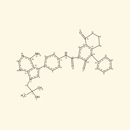 CC(C)(O)Cn1cc(-c2ccc(NC(=O)c3cc4c(n(-c5ccccc5)c3=O)CCCC4=O)cc2)c2c(N)ncnc21